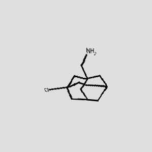 NCC12CC3CC(CC(Cl)(C3)C1)C2